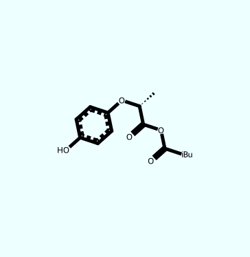 CCC(C)C(=O)OC(=O)[C@@H](C)Oc1ccc(O)cc1